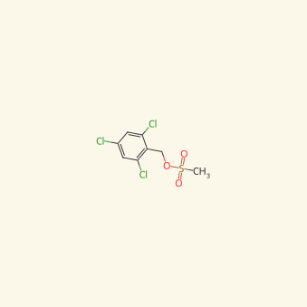 CS(=O)(=O)OCc1c(Cl)cc(Cl)cc1Cl